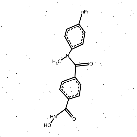 CCCc1ccc(N(C)C(=O)c2ccc(C(=O)NO)cc2)cc1